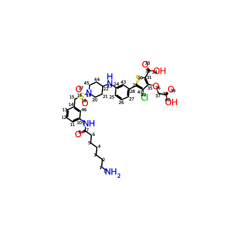 NCCCCCCC(=O)Nc1cccc(CS(=O)(=O)N2CCC(Nc3cccc(-c4sc(C(=O)O)c(OCC(=O)O)c4Cl)c3)CC2)c1